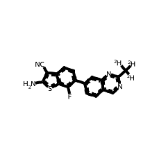 [2H]C([2H])([2H])c1ncc2ccc(-c3ccc4c(C#N)c(N)sc4c3F)cc2n1